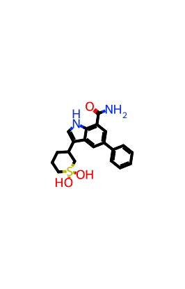 NC(=O)c1cc(-c2ccccc2)cc2c(C3CCCS(O)(O)C3)c[nH]c12